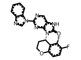 O=c1[nH]c2cnc(-n3cnc4ccccc43)nc2n1[C@H]1CCOc2ccc(F)c(F)c21